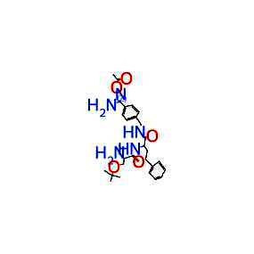 CC(=O)O/N=C(\N)c1ccc(CNC(=O)C(CCc2ccccc2)NC(=O)C(N)COC(C)(C)C)cc1